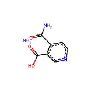 N.NC(=O)c1ccncc1C(=O)O